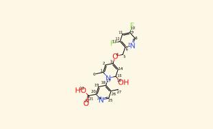 CC1=CC(OCc2ncc(F)cc2F)=CC(O)N1c1cc(C(=O)O)ncc1C